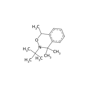 CC1ON(C(C)(C)C)C(C)(C)c2ccccc21